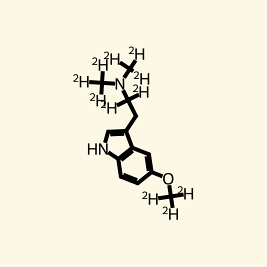 [2H]C([2H])([2H])Oc1ccc2[nH]cc(CC([2H])([2H])N(C([2H])([2H])[2H])C([2H])([2H])[2H])c2c1